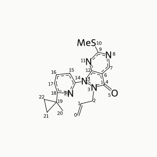 C=CCn1c(=O)c2cnc(SC)nc2n1-c1cccc(C2(C)CC2)n1